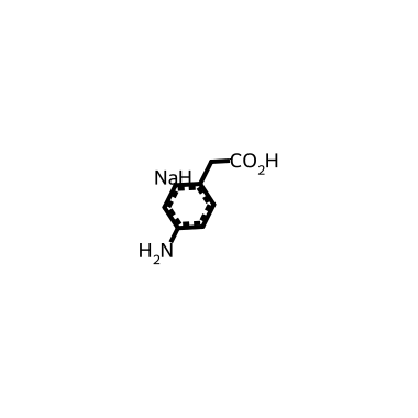 Nc1ccc(CC(=O)O)cc1.[NaH]